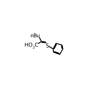 CCCCC(=CSc1ccccc1)C(=O)O